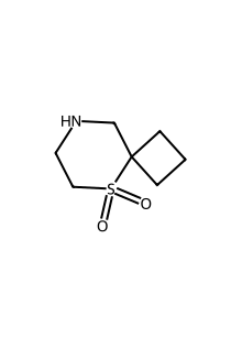 O=S1(=O)CCNCC12CCC2